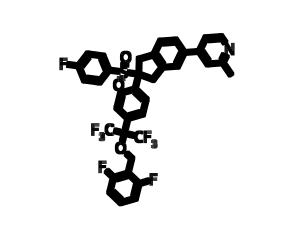 Cc1cc(-c2ccc3c(c2)CC(c2ccc(C(OCc4c(F)cccc4F)(C(F)(F)F)C(F)(F)F)cc2)(S(=O)(=O)c2ccc(F)cc2)C3)ccn1